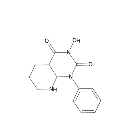 O=C1C2CCCNC2N(c2ccccc2)C(=O)N1O